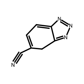 N#CC1=CC=C2N=NN=C2C1